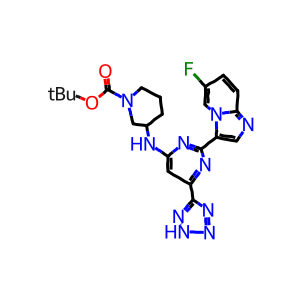 CC(C)(C)OC(=O)N1CCCC(Nc2cc(-c3nn[nH]n3)nc(-c3cnc4ccc(F)cn34)n2)C1